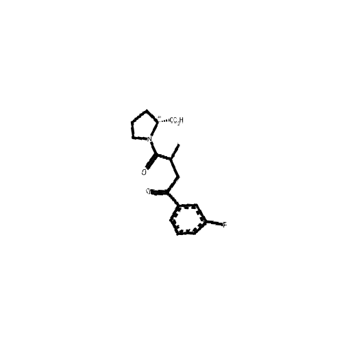 CC(CC(=O)c1cccc(F)c1)C(=O)N1CCC[C@@H]1C(=O)O